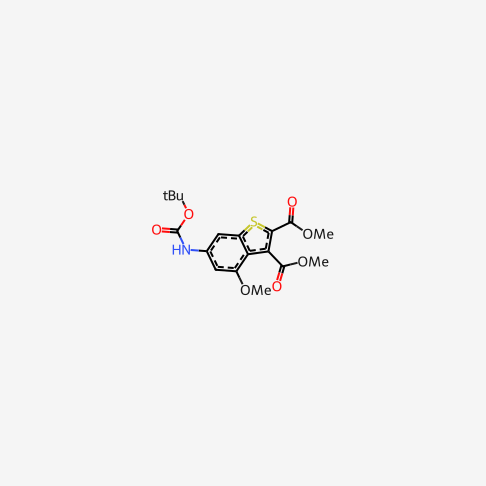 COC(=O)c1sc2cc(NC(=O)OC(C)(C)C)cc(OC)c2c1C(=O)OC